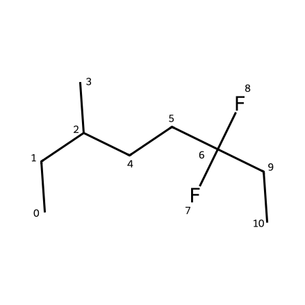 CCC(C)CCC(F)(F)CC